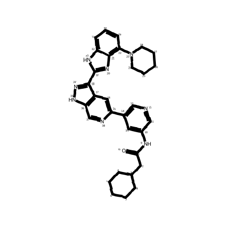 O=C(CC1CCCCC1)Nc1cncc(-c2cc3c(-c4nc5c(N6CCCCC6)cccc5[nH]4)n[nH]c3cn2)c1